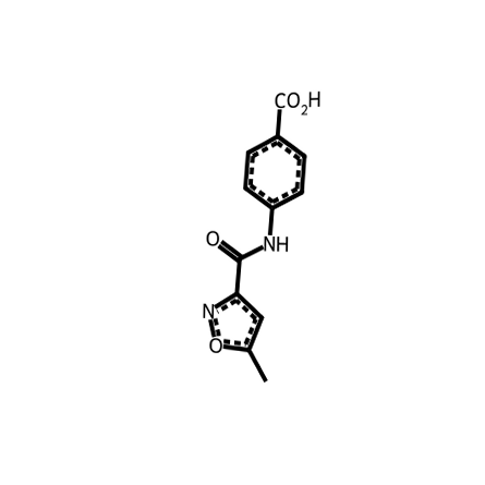 Cc1cc(C(=O)Nc2ccc(C(=O)O)cc2)no1